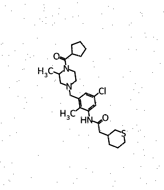 Cc1c(CN2CCN(C(=O)C3CCCC3)C(C)C2)cc(Cl)cc1NC(=O)CC1CCCSC1